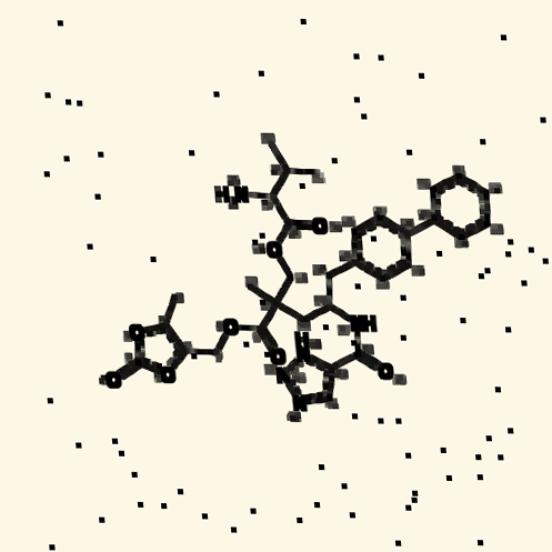 Cc1oc(=O)oc1COC(=O)C(C)(COC(=O)C(N)C(C)C)CC(Cc1ccc(-c2ccccc2)cc1)NC(=O)c1cnn[nH]1